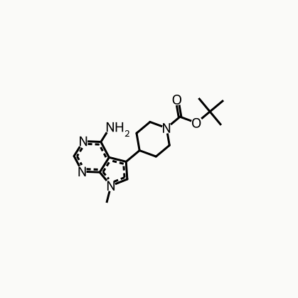 Cn1cc(C2CCN(C(=O)OC(C)(C)C)CC2)c2c(N)ncnc21